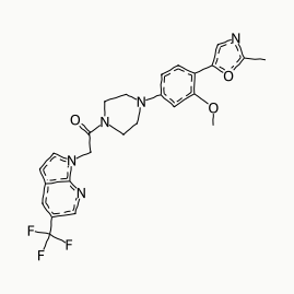 COc1cc(N2CCN(C(=O)Cn3ccc4cc(C(F)(F)F)cnc43)CC2)ccc1-c1cnc(C)o1